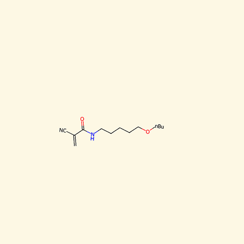 C=C(C#N)C(=O)NCCCCCOCCCC